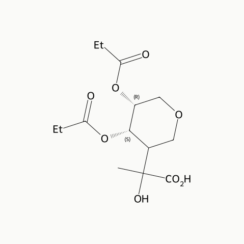 CCC(=O)O[C@@H]1COCC(C(C)(O)C(=O)O)[C@@H]1OC(=O)CC